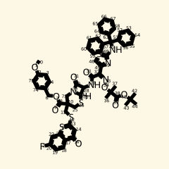 COc1ccc(COC(=O)C2(CSc3cc(=O)c4ccc(F)cc4s3)CS[C@@H]3C(NC(=O)C(=NOC(C)(C)C(=O)OC(C)(C)C)c4csc(NC(c5ccccc5)(c5ccccc5)c5ccccc5)n4)C(=O)N3C2)cc1